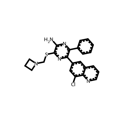 Nc1nc(-c2ccccc2)c(-c2cc(Cl)c3ncccc3c2)nc1SCN1CCC1